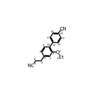 CCOc1cc(CCC#N)ccc1-c1ccc(C#N)cc1